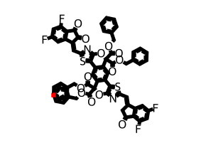 O=C1C(=O)c2c(F)cc(F)cc2/C1=C/c1nc2c(s1)-c1cc3c(cc1C(C(=O)OCc1ccccc1)(C(=O)OCc1ccccc1)O2)-c1sc(/C=C2\CC(=O)c4c(F)cc(F)cc42)nc1OC3(C(=O)OCc1ccccc1)C(=O)OCc1ccccc1